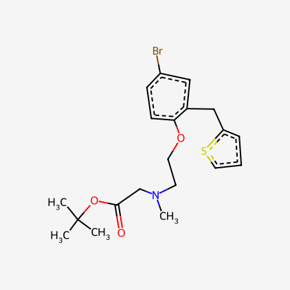 CN(CCOc1ccc(Br)cc1Cc1cccs1)CC(=O)OC(C)(C)C